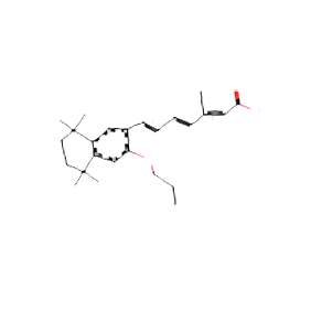 CCCOc1cc2c(cc1/C=C/C=C/C(C)=C/C(=O)O)C(C)(C)CCC2(C)C